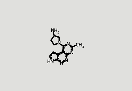 Cc1nc(N2CCC(N)C2)c2c(nnc3[nH]ccc32)n1